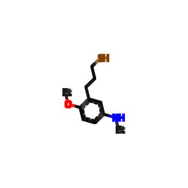 CCNc1ccc(OCC)c(CCCS)c1